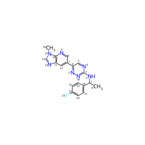 CC(Nc1ncc(-c2cnc3c(c2)ncn3C)nn1)c1ccc(F)cc1